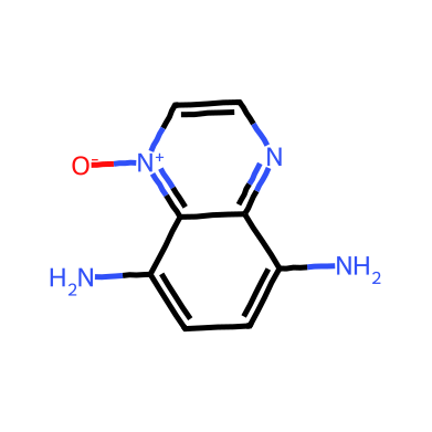 Nc1ccc(N)c2c1ncc[n+]2[O-]